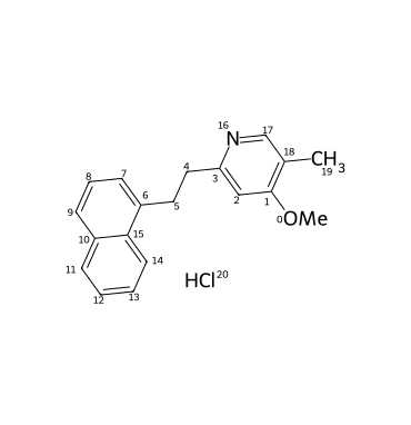 COc1cc(CCc2cccc3ccccc23)ncc1C.Cl